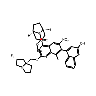 CC(C)(C)OC(=O)N1[C@@H]2CC[C@H]1CN(c1nc(OC[C@@]34CCCN3C[C@H](F)C4)nc3c(F)c(-c4cc(O)cc5ccccc45)c([N+](=O)[O-])cc13)C2